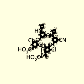 N#Cc1cc(COc2c(Cl)cc(C(=O)NCC(=O)O)cc2Cl)cc(NC2CCC2)c1.N#Cc1cc(COc2c(Cl)cc(CC(=O)O)cc2Cl)cc(NC2CCC2)c1